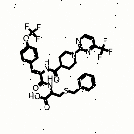 O=C(NC(CSCc1ccccc1)C(=O)O)C(=Cc1ccc(OC(F)(F)F)cc1)NC(=O)C1CCN(c2nccc(C(F)(F)F)n2)CC1